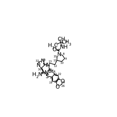 CC(C)(C)NC(=O)N1CCCC(CCN2CN(Sc3cc4c(cc3Br)OCO4)C(N)=C3N=CN=C32)C1